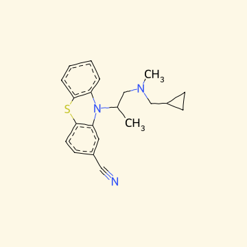 CC(CN(C)CC1CC1)N1c2ccccc2Sc2ccc(C#N)cc21